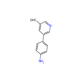 Nc1ccc(-c2cncc(C=O)c2)cc1